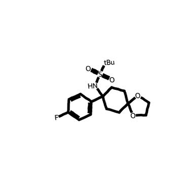 CC(C)(C)S(=O)(=O)NC1(c2ccc(F)cc2)CCC2(CC1)OCCO2